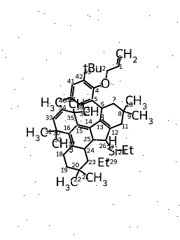 C=CCOc1c(C2CC(C)(C)CC3=C2C2=C4C(=C5CCC(C)(C)CC5C2C3[SiH](CC)CC)C(C)(C)C=CC4(C)C)cc(C)cc1C(C)(C)C